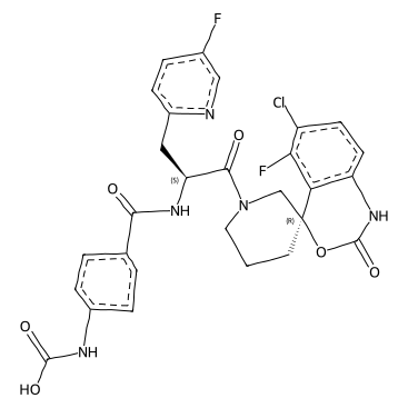 O=C(O)Nc1ccc(C(=O)N[C@@H](Cc2ccc(F)cn2)C(=O)N2CCC[C@@]3(C2)OC(=O)Nc2ccc(Cl)c(F)c23)cc1